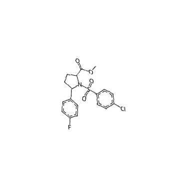 COC(=O)C1CCC(c2ccc(F)cc2)N1S(=O)(=O)c1ccc(Cl)cc1